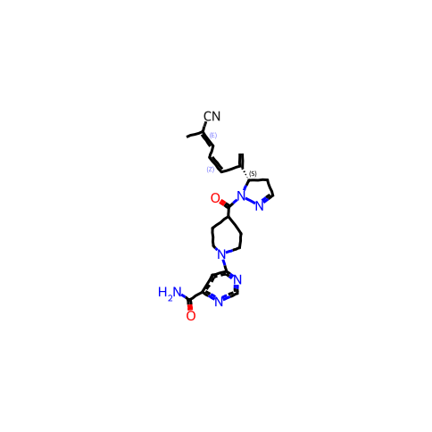 C=C(/C=C\C=C(/C)C#N)[C@@H]1CC=NN1C(=O)C1CCN(c2cc(C(N)=O)ncn2)CC1